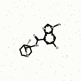 CC(C)n1cnc2c(C(=O)N[C@H]3CN4CCC3CC4)cc(Cl)cc21